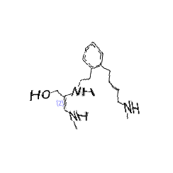 CN/C=C(/CO)NCCc1ccccc1CCCCNC